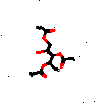 CC(=O)OCC(O)[C@@H](OC(C)=O)[C@@H](C)OC(C)=O